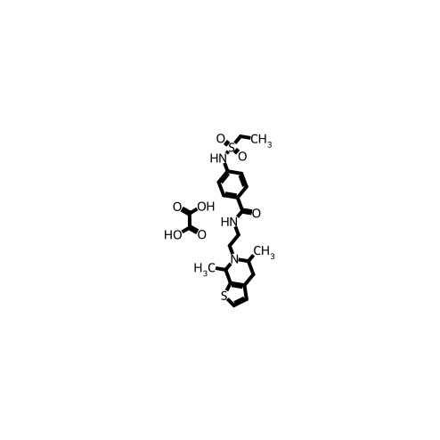 CCS(=O)(=O)Nc1ccc(C(=O)NCCN2C(C)Cc3ccsc3C2C)cc1.O=C(O)C(=O)O